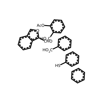 CC(=O)Oc1ccccc1C(=O)O.O=C(O)c1ccccc1.O=Cc1occ2ccccc12.Sc1ccccc1.c1ccccc1